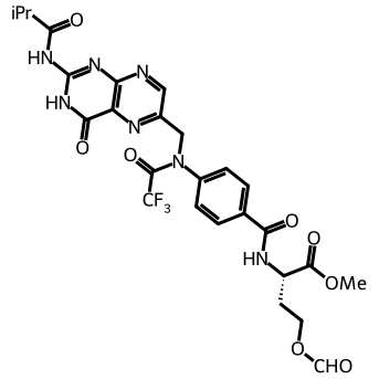 COC(=O)[C@H](CCOC=O)NC(=O)c1ccc(N(Cc2cnc3nc(NC(=O)C(C)C)[nH]c(=O)c3n2)C(=O)C(F)(F)F)cc1